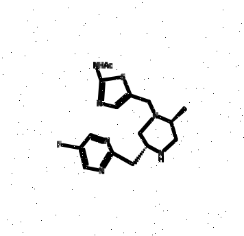 CC(=O)Nc1ncc(CN2C[C@@H](Cc3ncc(F)cn3)NC[C@@H]2C)s1